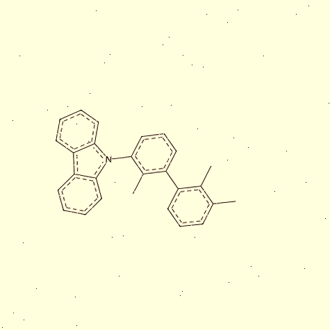 Cc1cccc(-c2cccc(-n3c4ccccc4c4ccccc43)c2C)c1C